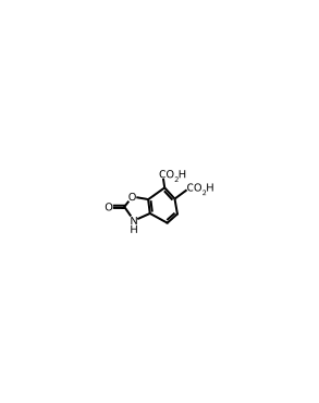 O=C(O)c1ccc2[nH]c(=O)oc2c1C(=O)O